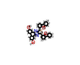 COc1ccc2c3ccc(OC)cc3c3nc4c(-c5cccc6c5oc5ccccc56)sc(-c5cccc6c5oc5ccccc56)c4nc3c2c1